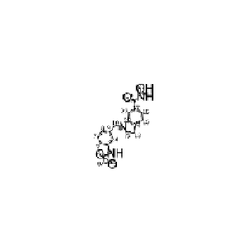 CS(=O)(=O)Nc1cccc(Cn2ccc3ccc(C(=O)NO)cc32)c1